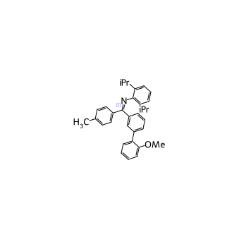 COc1ccccc1-c1cccc(/C(=N\c2c(C(C)C)cccc2C(C)C)c2ccc(C)cc2)c1